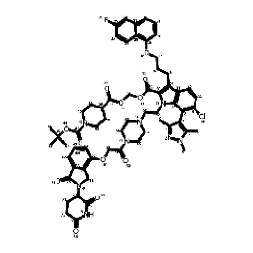 Cc1nn(C)c(C)c1-c1c(Cl)ccc2c(CCCOc3cccc4cc(F)ccc34)c(C(=O)OCOC(=O)C3CCN(C(=O)OC(C)(C)C)CC3)n(CCN3CCN(C(=O)COc4cccc5c4CN(C4CCC(=O)NC4=O)C5=O)CC3)c12